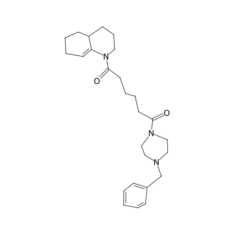 O=C(CCCCC(=O)N1CCCC2CCCC=C21)N1CCN(Cc2ccccc2)CC1